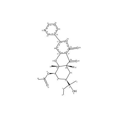 CCC(C)(O)[C@H]1C[C@@H](OC(C)=O)[C@]2(C)Oc3cc(-c4cccnc4)oc(=O)c3C(=O)[C@@H]2C1